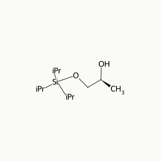 CC(C)[Si](OC[C@H](C)O)(C(C)C)C(C)C